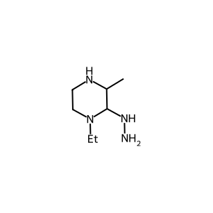 CCN1CCNC(C)C1NN